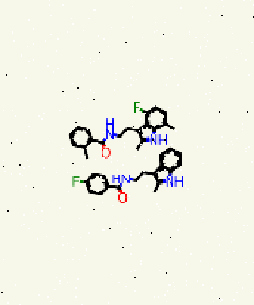 Cc1[nH]c2ccccc2c1CCNC(=O)c1ccc(F)cc1.Cc1ccccc1C(=O)NCCc1c(C)[nH]c2c(C)ccc(F)c12